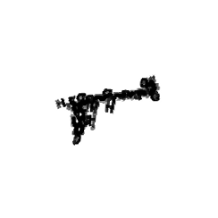 C[C@@H]1CC2N3CCC4=CC(=O)C=CC4(C)C3C(O)CC2(C)C1C(=O)COC(=O)CCC(=O)NCCOCCOCCN1C(=O)C=CC1=O